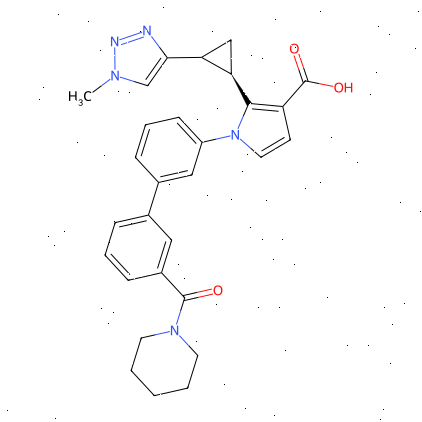 Cn1cc(C2C[C@H]2c2c(C(=O)O)ccn2-c2cccc(-c3cccc(C(=O)N4CCCCC4)c3)c2)nn1